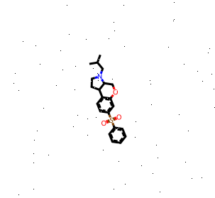 CC(C)CN1CCC2c3ccc(S(=O)(=O)c4ccccc4)cc3OCC21